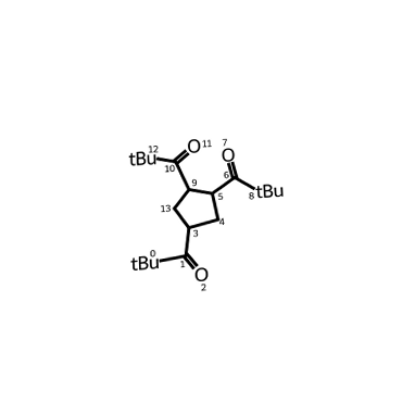 CC(C)(C)C(=O)C1CC(C(=O)C(C)(C)C)C(C(=O)C(C)(C)C)C1